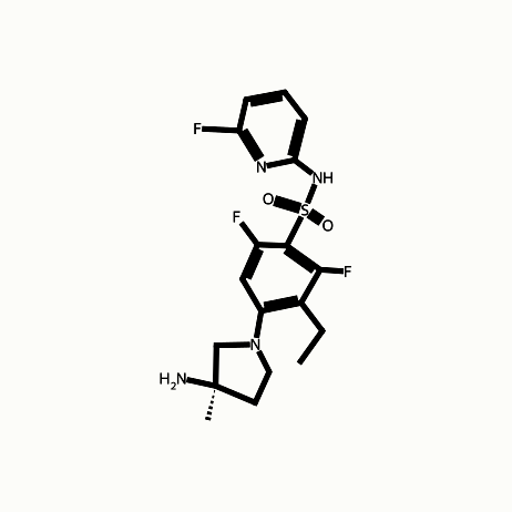 CCc1c(N2CC[C@@](C)(N)C2)cc(F)c(S(=O)(=O)Nc2cccc(F)n2)c1F